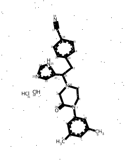 Cc1cc(C)cc(N2CCN(C(Cc3ccc(C#N)cc3)c3cnc[nH]3)CC2=O)c1.Cl.Cl